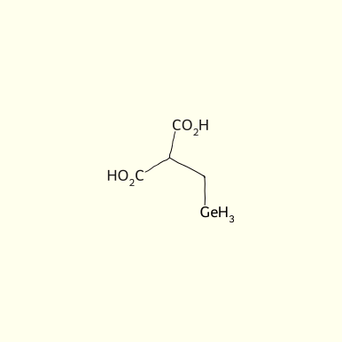 O=C(O)C([CH2][GeH3])C(=O)O